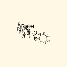 O=C(COC(=O)C(F)(C(F)(F)F)S(=O)(=O)O)OC1CCCCCC1